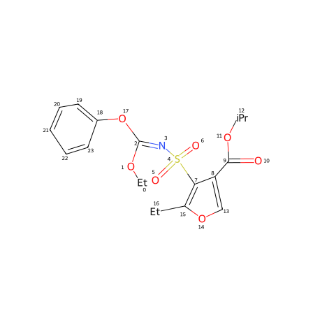 CCOC(=NS(=O)(=O)c1c(C(=O)OC(C)C)coc1CC)Oc1ccccc1